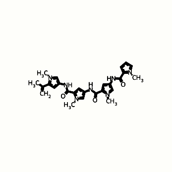 C=C(C)c1cc(NC(=O)c2cc(NC(=O)c3cc(NC(=O)c4cccn4C)cn3C)cn2C)cn1C